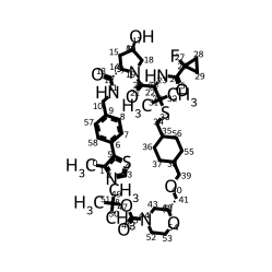 Cc1ncsc1-c1ccc(CNC(=O)[C@@H]2C[C@@H](O)CN2C(=O)[C@@H](NC(=O)C2(F)CC2)C(C)(C)SCC2CCC(COC[C@H]3CN(C(=O)OC(C)(C)C)CCO3)CC2)cc1